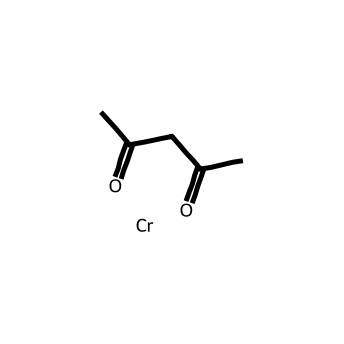 CC(=O)CC(C)=O.[Cr]